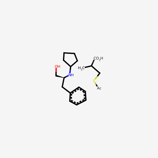 CC(=O)SCC(C)C(=O)O.OC[C@H](Cc1ccccc1)NC1CCCC1